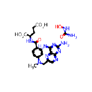 CN(Cc1cnc2nc(N)nc(N)c2n1)c1ccc(C(=O)NC(CCC(=O)O)C(=O)O)cc1.NC(=O)NO